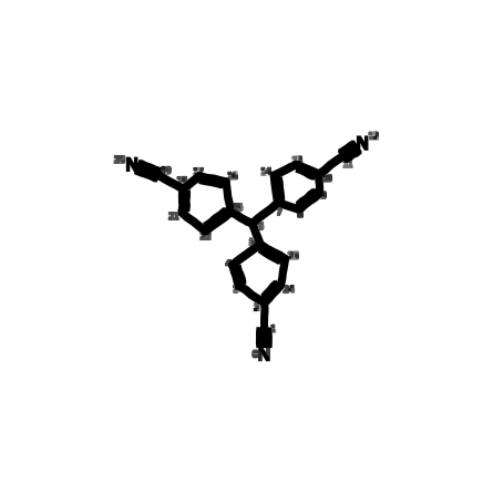 N#Cc1ccc([C](c2ccc(C#N)cc2)c2ccc(C#N)cc2)cc1